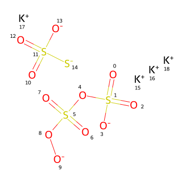 O=S(=O)([O-])OS(=O)(=O)O[O-].O=S(=O)([O-])[S-].[K+].[K+].[K+].[K+]